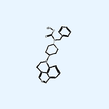 CC(C)(C)OC(=O)N(Cc1ccccc1)[C@H]1CC[C@H](N2CCc3cncc4cccc2c34)CC1